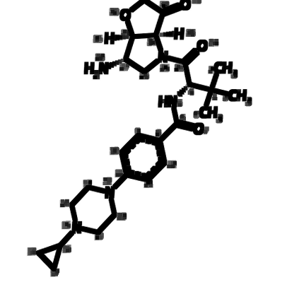 CC(C)(C)[C@H](NC(=O)c1ccc(N2CCN(C3CC3)CC2)cc1)C(=O)N1C[C@H](N)[C@H]2OCC(=O)[C@H]21